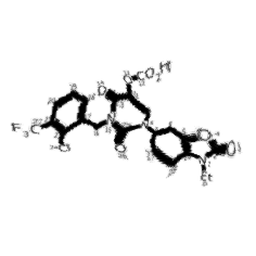 CCn1c(=O)oc2cc(-n3cc(OC(=O)O)c(=O)n(Cc4cccc(C(F)(F)F)c4Cl)c3=O)ccc21